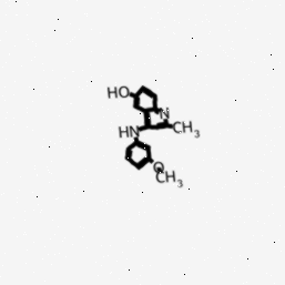 COc1cccc(Nc2cc(C)nc3ccc(O)cc23)c1